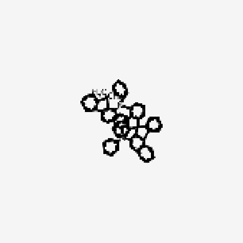 CC1(C)c2ccccc2-c2cccc(N(c3ccccc3)c3cccc4c3-c3ccccc3C43c4ccccc4-c4c3c(N(c3ccccc3)c3ccccc3)cc3ccccc43)c21